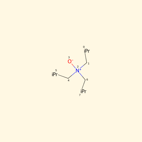 CC(C)C[N+]([O-])(CC(C)C)CC(C)C